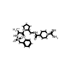 CC(NS(=O)(=O)Cc1ccccc1)C(=O)N1CCCC1CNC(=O)C1CCN(C(=N)N)CC1